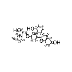 CC1=C(c2cccc(O)c2)C(c2ccc(OC[C@H](CO)N3CC[C@@H](C)C3)cc2)Oc2ccc(O)cc21